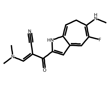 CNC1=C(F)C=c2cc(C(=O)/C(C#N)=C/N(C)C)[nH]c2=CC1